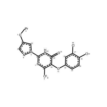 CC(C)Oc1cnn(-c2nc(C(F)(F)F)c(Oc3ccc(Cl)c(Cl)c3)c(=O)[nH]2)c1